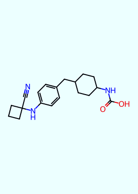 N#CC1(Nc2ccc(CC3CCC(NC(=O)O)CC3)cc2)CCC1